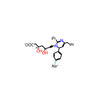 CC(C)CC1=CC(c2ccc(F)cc2)N(C#C[C@@H](O)C[C@@H](O)CC(=O)[O-])C(C(C)C)=N1.[Na+]